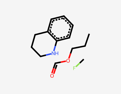 CCCOC=O.CF.c1ccc2c(c1)CCCN2